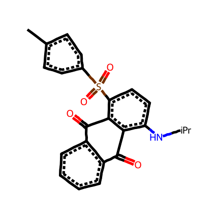 Cc1ccc(S(=O)(=O)c2ccc(NC(C)C)c3c2C(=O)c2ccccc2C3=O)cc1